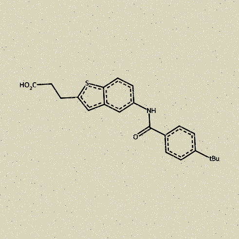 CC(C)(C)c1ccc(C(=O)Nc2ccc3sc(CCC(=O)O)cc3c2)cc1